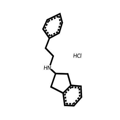 Cl.c1ccc(CCNC2Cc3ccccc3C2)cc1